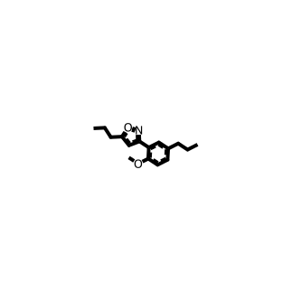 CCCc1ccc(OC)c(-c2cc(CCC)on2)c1